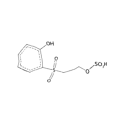 O=S(=O)(O)OCCS(=O)(=O)c1ccccc1O